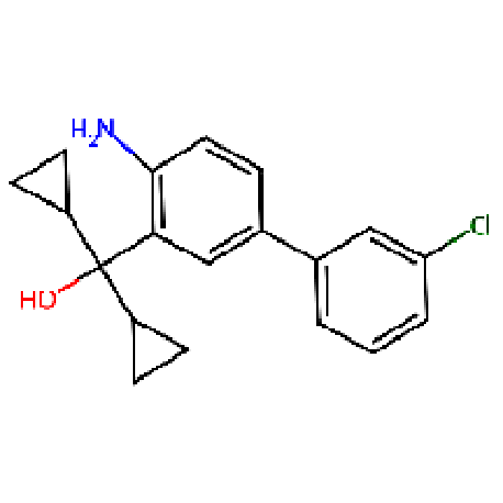 Nc1ccc(-c2cccc(Cl)c2)cc1C(O)(C1CC1)C1CC1